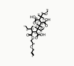 C=CCOCCOC(=O)C(C(C)CC)C(C(=O)O)C(C)(CC)C(C)(C)C(C(=O)O)C(C(=O)O)C(C)(C)COC